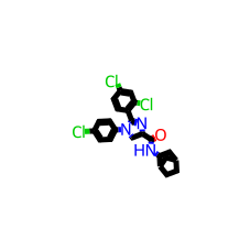 O=C(NC1CC2CCC1C2)C1CN(c2ccc(Cl)cc2)C(c2ccc(Cl)cc2Cl)=N1